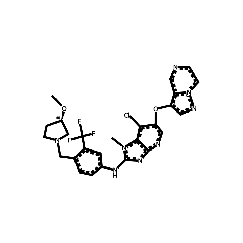 CO[C@@H]1CCN(Cc2ccc(Nc3nc4ncc(Oc5cnn6ccncc56)c(Cl)c4n3C)cc2C(F)(F)F)C1